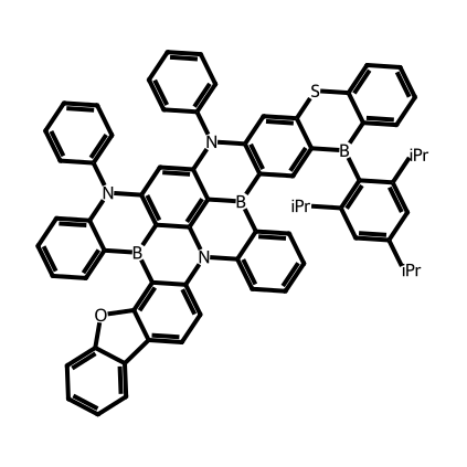 CC(C)c1cc(C(C)C)c(B2c3ccccc3Sc3cc4c(cc32)B2c3ccccc3N3c5ccc6c(oc7ccccc76)c5B5c6ccccc6N(c6ccccc6)c6cc(c2c3c65)N4c2ccccc2)c(C(C)C)c1